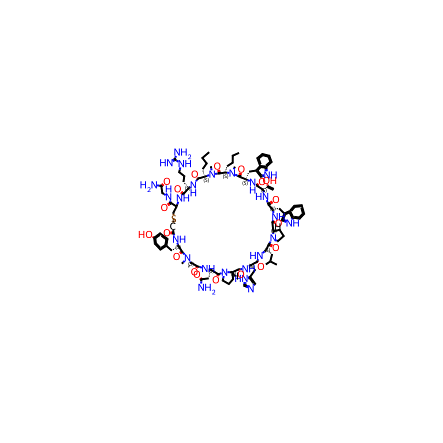 C=C(O)[C@@H]1NC(=O)[C@H](Cc2c[nH]c3ccccc23)NC(=O)[C@@H]2CCCN2C(=O)[C@H](CC(C)C)NC(=O)[C@H](Cc2cnc[nH]2)NC(=O)[C@@H]2CCCN2C(=O)[C@H](CC(N)=O)NC(=O)[C@H](C)N(C)C(=O)[C@H](Cc2ccc(O)cc2)NC(=O)CSCC(C(=O)NCC(N)=O)NC(=O)[C@H](CCCNC(=N)N)NC(=O)[C@H](CCCC)N(C)C(=O)[C@H](CCCC)N(C)C(=O)[C@H](Cc2c[nH]c3ccccc23)NC1=O